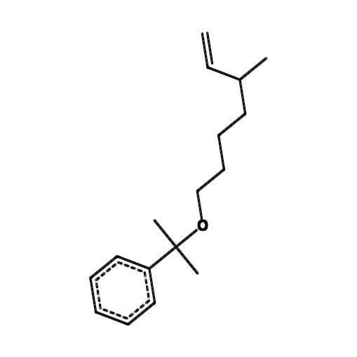 C=CC(C)CCCCOC(C)(C)c1ccccc1